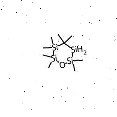 CC1(C)[SiH2][Si](C)(C)O[Si](C)(C)[Si]1(C)C